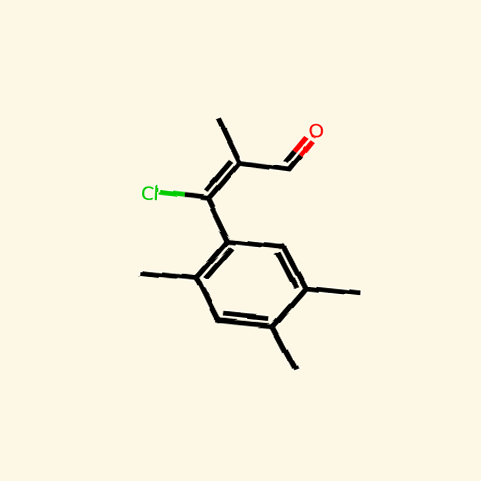 CC(C=O)=C(Cl)c1cc(C)c(C)cc1C